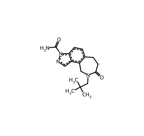 CC(C)(C)CN1Cc2c(ccc3c2cnn3C(N)=O)C[C]C1=O